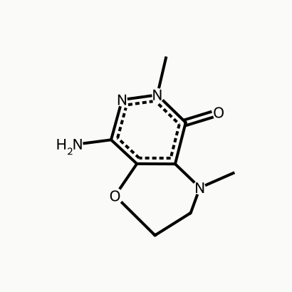 CN1CCOc2c(N)nn(C)c(=O)c21